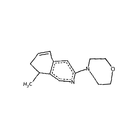 CC1CC=Cc2cc(N3CCOCC3)ncc21